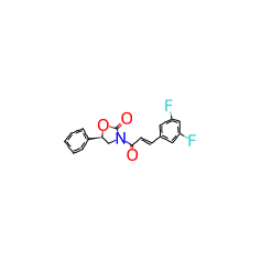 O=C(/C=C/c1cc(F)cc(F)c1)N1C[C@@H](c2ccccc2)OC1=O